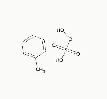 Cc1ccccc1.O=S(=O)(O)OO